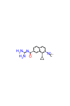 [C-]#[N+]c1ccc2ccc(C(=O)N=C(N)N)cc2c1C1CC1